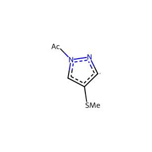 CSc1[c]nn(C(C)=O)c1